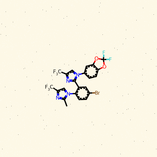 Cc1nc(C(F)(F)F)cn1-c1ccc(Br)cc1-c1nc(C(F)(F)F)cn1-c1ccc2c(c1)OC(F)(F)O2